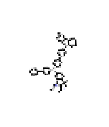 C/C=C1\C(=C/CC)c2cc(N(c3ccc(-c4ccccc4)cc3)c3ccc(-c4ccc(-n5c6ccccc6c6cnccc65)cc4)cc3)ccc2C1(C)C